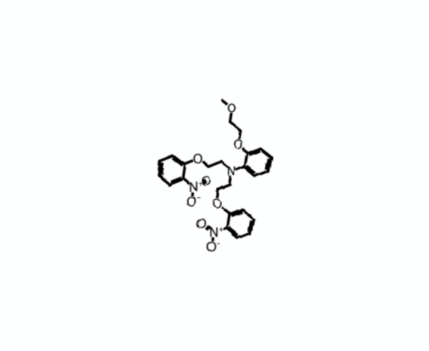 COCCOc1ccccc1N(CCOc1ccccc1[N+](=O)[O-])CCOc1ccccc1[N+](=O)[O-]